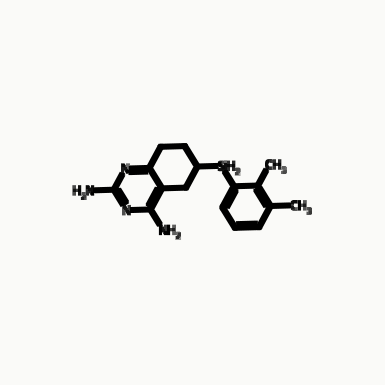 Cc1cccc([SiH2]C2CCc3nc(N)nc(N)c3C2)c1C